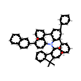 CC1(C)c2ccccc2-c2c(N(c3ccc(-c4ccc5ccccc5c4)cc3)c3c(-c4ccccc4)cc(-c4ccccc4)cc3-c3ccccc3)cccc21